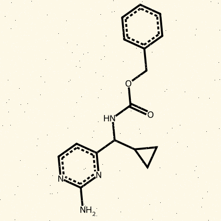 Nc1nccc(C(NC(=O)OCc2ccccc2)C2CC2)n1